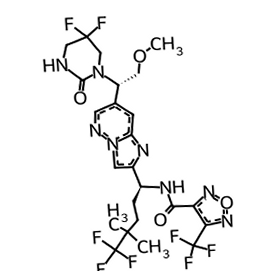 COC[C@H](c1cnn2cc([C@H](CCC(C)(C)C(F)(F)F)NC(=O)c3nonc3C(F)(F)F)nc2c1)N1CC(F)(F)CNC1=O